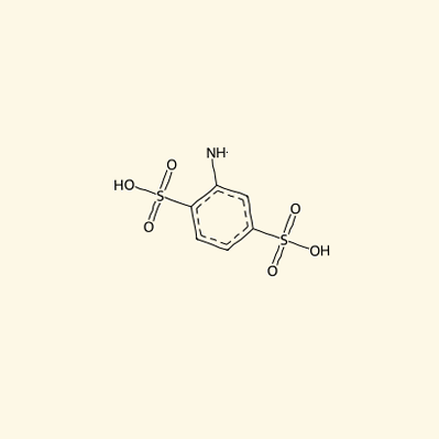 [NH]c1cc(S(=O)(=O)O)ccc1S(=O)(=O)O